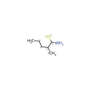 CCCC(C)C(N)S